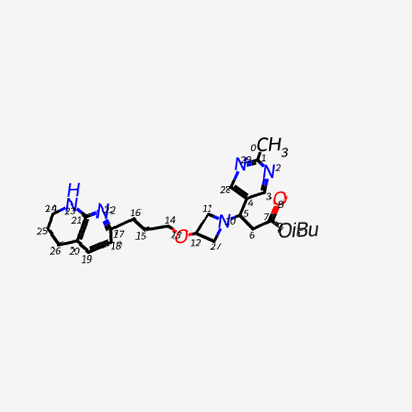 Cc1ncc(C(CC(=O)OCC(C)C)N2CC(OCCCc3ccc4c(n3)NCCC4)C2)cn1